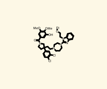 CCOCCn1c(N2CCCN(CCC3(c4ccc(Cl)c(Cl)c4)CCN(C(=O)c4cc(O)c(OC)c(OC)c4)C3)CC2)nc2ccccc21